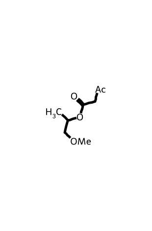 COCC(C)OC(=O)CC(C)=O